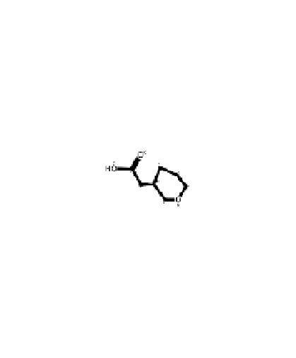 O=C(O)C[C@H]1CCCOC1